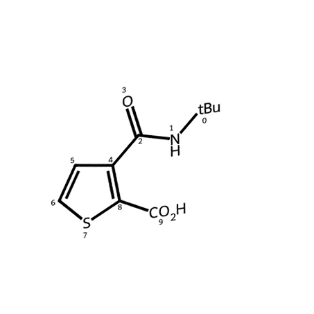 CC(C)(C)NC(=O)c1ccsc1C(=O)O